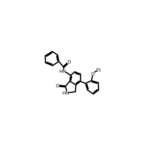 CCOc1ccccc1-c1ccc(NC(=O)c2ccccc2)c2c1CNC2=O